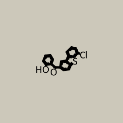 O=C(c1ccc2sc3c(Cl)cccc3c2c1)c1ccccc1O